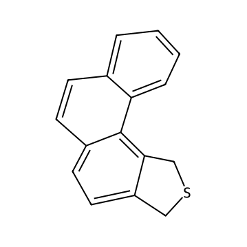 c1ccc2c(c1)ccc1ccc3c(c12)CSC3